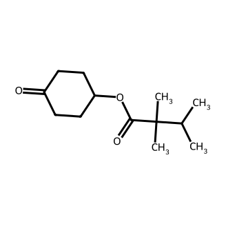 CC(C)C(C)(C)C(=O)OC1CCC(=O)CC1